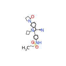 CCCS(=O)(=O)Nc1ccc(-c2c(C#N)c3ccc(N4CCCC4=O)cc3n2C2CCC2)cc1